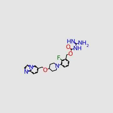 N=C(N)NC(=O)OCc1cccc(N2CCC(OCc3ccc4nccn4c3)CC2)c1F